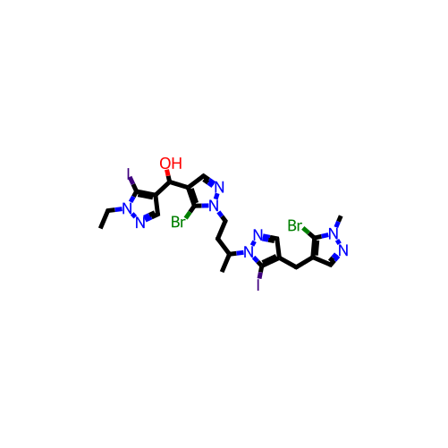 CCn1ncc(C(O)c2cnn(CCC(C)n3ncc(Cc4cnn(C)c4Br)c3I)c2Br)c1I